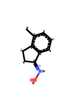 Cc1cccc2c1CC/C2=N\O